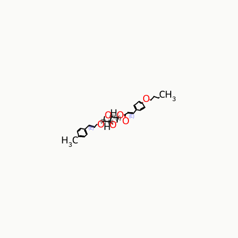 CCCCOc1ccc(/C=C/C(=O)O[C@@H]2CO[C@H]3[C@@H]2OC[C@H]3OC/C=C/c2ccc(C)cc2)cc1